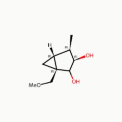 COC[C@@]12C[C@@H]1[C@@H](C)[C@@H](O)C2O